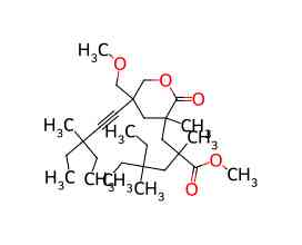 CCC(C)(C#CC1(COC)COC(=O)C(C)(CC(C)(CC(C)(CC)CC)C(=O)OC)C1)CC